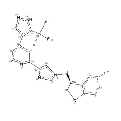 Fc1ccc2c(c1)[C@H](Cn1cnc(-c3cc(-c4nn[nH]c4C(F)(F)F)ccn3)c1)CO2